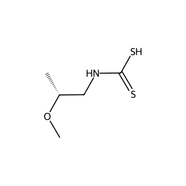 CO[C@H](C)CNC(=S)S